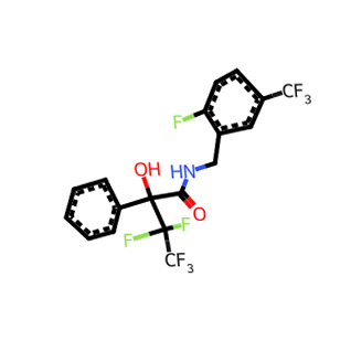 O=C(NCc1cc(C(F)(F)F)ccc1F)C(O)(c1ccccc1)C(F)(F)C(F)(F)F